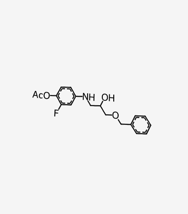 CC(=O)Oc1ccc(NCC(O)COCc2ccccc2)cc1F